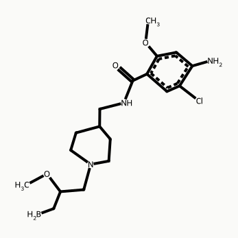 BCC(CN1CCC(CNC(=O)c2cc(Cl)c(N)cc2OC)CC1)OC